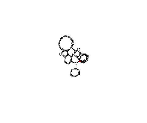 c1cccc(-c2nc3ccccc3o2)c2c(ccc1)oc1ccc(N(c3ccccc3)c3ccccc3)cc12